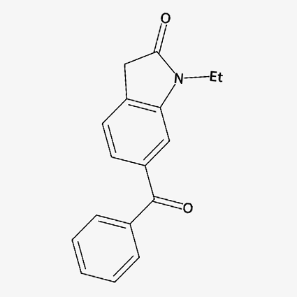 CCN1C(=O)Cc2ccc(C(=O)c3ccccc3)cc21